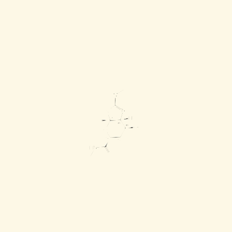 CNC(=O)[C@H]1O[C@@H]2SC(NC)=N[C@@H]2[C@@H](O)[C@@H]1O